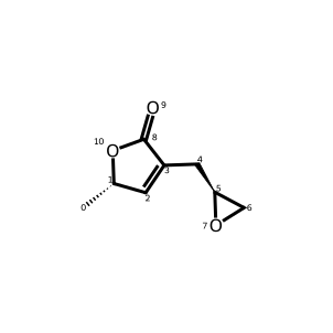 C[C@H]1C=C(C[C@H]2CO2)C(=O)O1